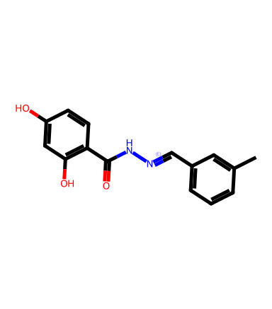 Cc1cccc(/C=N/NC(=O)c2ccc(O)cc2O)c1